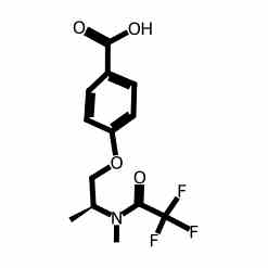 C[C@@H](COc1ccc(C(=O)O)cc1)N(C)C(=O)C(F)(F)F